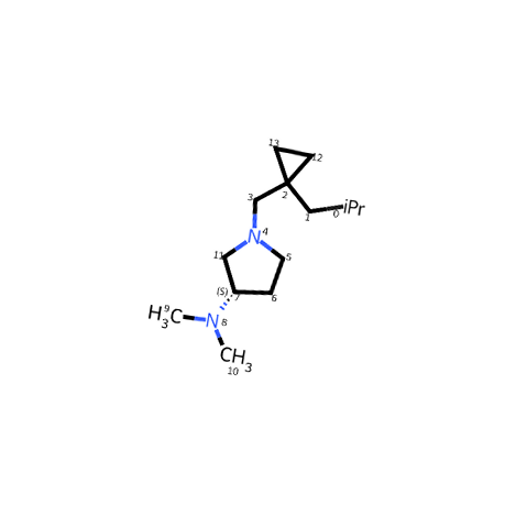 CC(C)CC1(CN2CC[C@H](N(C)C)C2)CC1